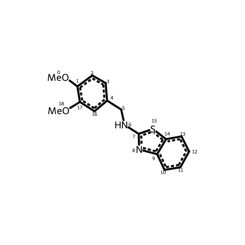 COc1ccc(CNc2nc3ccccc3s2)cc1OC